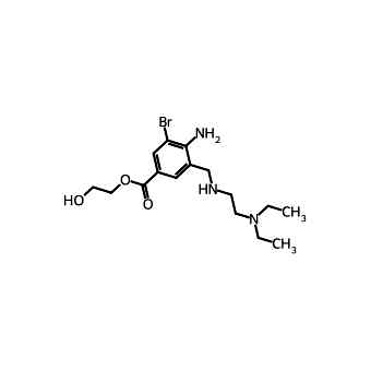 CCN(CC)CCNCc1cc(C(=O)OCCO)cc(Br)c1N